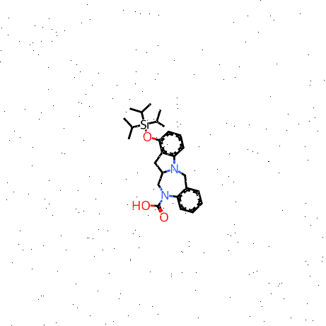 CC(C)[Si](Oc1cccc2c1CC1CN(C(=O)O)c3ccccc3CN21)(C(C)C)C(C)C